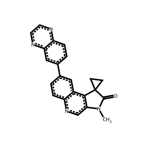 CN1C(=O)C2(CC2)c2c1cnc1ccc(-c3ccc4nccnc4c3)cc21